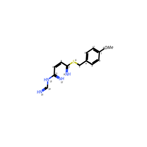 COc1ccc(CSC(=N)/C=C\C(=N)NC=N)cc1